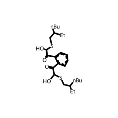 CCCCC(CC)CSC(O)C(=O)c1ccccc1C(=O)C(O)SCC(CC)CCCC